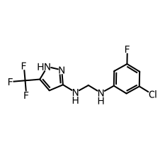 Fc1cc(Cl)cc(NCNc2cc(C(F)(F)F)[nH]n2)c1